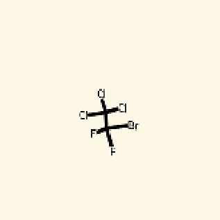 FC(F)(Br)C(Cl)(Cl)Cl